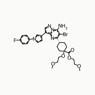 COCCOC(=O)[C@]1(OCCOC)CC[C@H](c2nc3c(-c4ccn(-c5ccc(F)cc5)c4)cnn3c(N)c2Br)CC1